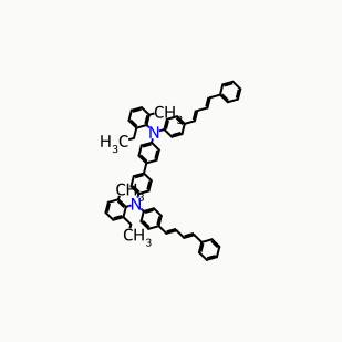 CCc1cccc(C)c1N(c1ccc(/C=C/C=C/c2ccccc2)cc1)c1ccc(-c2ccc(N(c3ccc(/C=C/C=C/c4ccccc4)cc3)c3c(C)cccc3CC)cc2)cc1